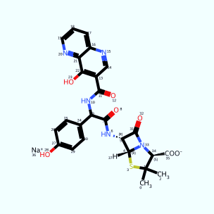 CC1(C)S[C@@H]2[C@H](NC(=O)C(NC(=O)c3cnc4cccnc4c3O)c3ccc(O)cc3)C(=O)N2[C@H]1C(=O)[O-].[Na+]